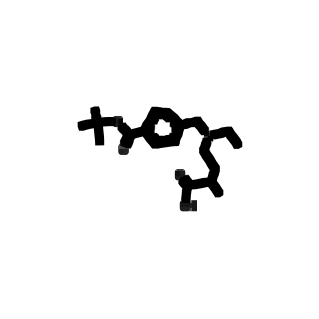 CCN(CCC(C)C(=O)O)Cc1ccc(C(=O)OC(C)(C)C)cc1